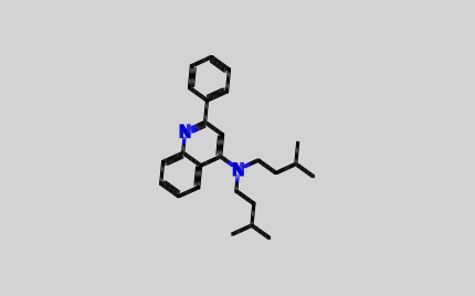 CC(C)CCN(CCC(C)C)c1cc(-c2ccccc2)nc2ccccc12